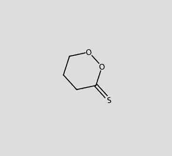 S=C1CCCOO1